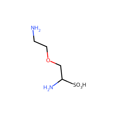 NCCOCC(N)S(=O)(=O)O